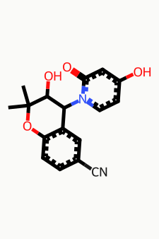 CC1(C)Oc2ccc(C#N)cc2C(n2ccc(O)cc2=O)C1O